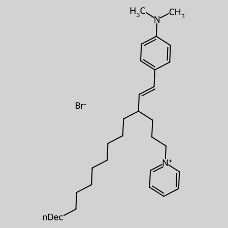 CCCCCCCCCCCCCCCCCCC(C=Cc1ccc(N(C)C)cc1)CCC[n+]1ccccc1.[Br-]